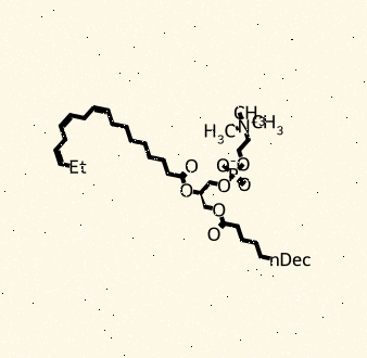 CC/C=C\C/C=C\C/C=C\CCCCCCCC(=O)O[C@H](COC(=O)CCCCCCCCCCCCCC)COP(=O)([O-])OCC[N+](C)(C)C